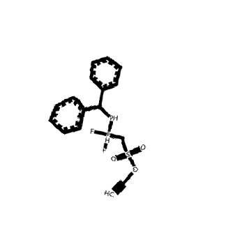 C#COS(=O)(=O)C[PH](F)(F)PC(c1ccccc1)c1ccccc1